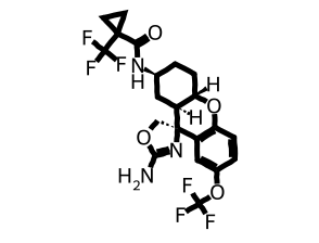 NC1=N[C@]2(CO1)c1cc(OC(F)(F)F)ccc1O[C@H]1CC[C@H](NC(=O)C3(C(F)(F)F)CC3)C[C@@H]12